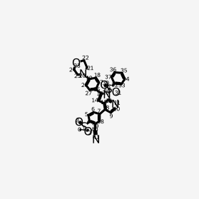 CS(=O)(=O)c1ccc(-c2ccnc3c2cc(-c2ccc(N4CCOCC4)cc2)n3S(=O)(=O)c2ccccc2)cc1C#N